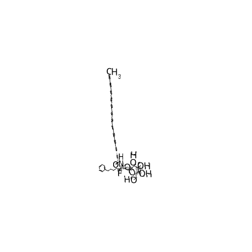 CC#CC#CC#CC#CC#CC#CC#CC#CC#CC#CC#CC#CC(=O)N[C@@H](CO[C@H]1OC(CO)[C@H](O)[C@H](O)C1O)[C@H](F)CCCCc1ccccc1